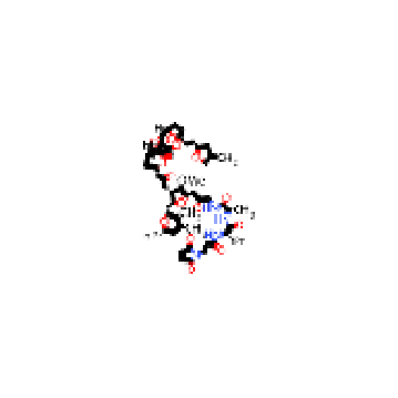 C=C1CO[C@@H](CC[C@]23CC[C@H](O2)C2O[C@H]4CC[C@H](CC(=O)C[C@@H]5[C@@H](OC)[C@@H](C[C@H](O)CNC(=O)[C@H](C)NC(=O)[C@@H](NC(=O)CCN6C(=O)C=CC6=O)C(C)C)O[C@H]5C[C@H]5O[C@@H](CCC)C[C@@H](C)C5=C)O[C@@H]4[C@H](O3)[C@@H]2C)C1